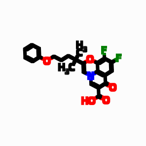 CC(C)(CCCOc1ccccc1)C1=Cn2cc(C(=O)O)c(=O)c3cc(F)c(F)c(c32)O1